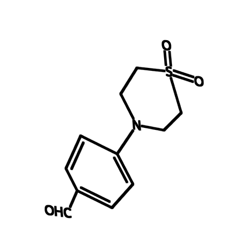 O=Cc1ccc(N2CCS(=O)(=O)CC2)cc1